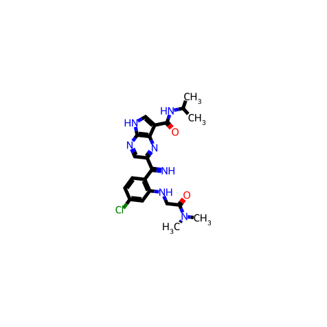 CC(C)NC(=O)c1c[nH]c2ncc(C(=N)c3ccc(Cl)cc3NCC(=O)N(C)C)nc12